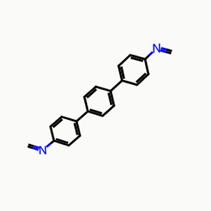 C=Nc1ccc(-c2ccc(-c3ccc(N=C)cc3)cc2)cc1